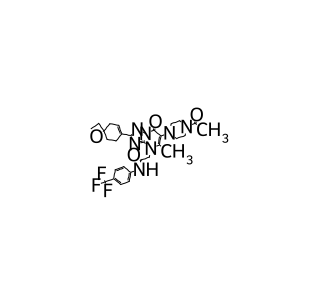 CC(=O)N1CCN(c2c(C)n(CC(=O)Nc3ccc(C(F)(F)F)cc3)c3nc(C4=CCC5(CCO5)CC4)nn3c2=O)CC1